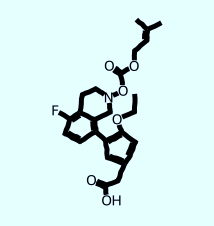 CCOc1ccc(CC(=O)O)cc1-c1ccc(F)c2c1CN(OC(=O)OCC=C(C)C)CC2